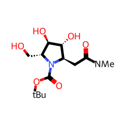 CNC(=O)C[C@@H]1[C@@H](O)[C@H](O)[C@@H](CO)N1C(=O)OC(C)(C)C